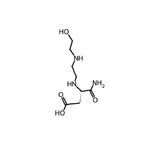 NC(=O)[C@H](CC(=O)O)NCCNCCO